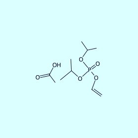 C=COP(=O)(OC(C)C)OC(C)C.CC(=O)O